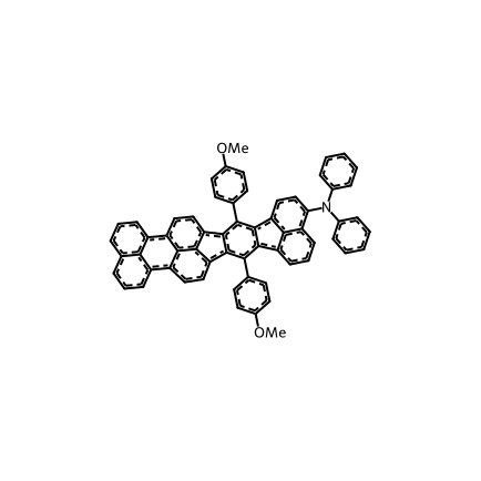 COc1ccc(-c2c3c4cccc5c(N(c6ccccc6)c6ccccc6)ccc(c3c(-c3ccc(OC)cc3)c3c6ccc7c8cccc9cccc(c%10ccc(c23)c6c%107)c98)c54)cc1